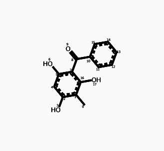 Cc1c(O)cc(O)c(C(=O)c2ccccc2)c1O